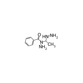 CC(NN)N(N)C(=O)c1ccccc1